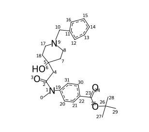 CN(C(=O)CC1(O)CCN(Cc2ccccc2)CC1)c1ccc(C(=O)OC(C)(C)C)cc1